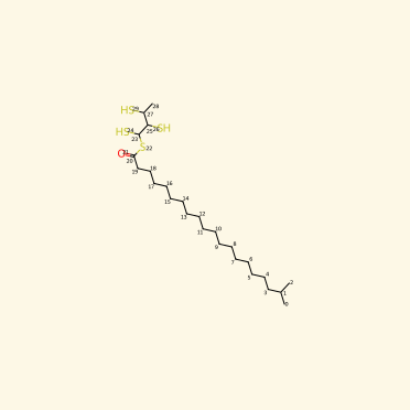 CC(C)CCCCCCCCCCCCCCCCCC(=O)SC(S)C(S)C(C)S